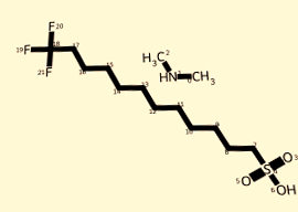 CNC.O=S(=O)(O)CCCCCCCCCCCC(F)(F)F